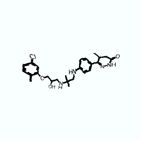 Cc1ccc(Cl)cc1OCC(O)CNC(C)(C)CNc1ccc(C2=NNC(=O)CC2C)cc1